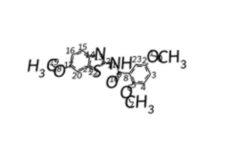 COc1ccc(OC)c(C(=O)Nc2nc3ccc(OC)cc3s2)c1